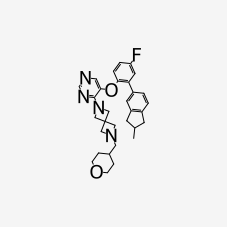 CC1Cc2ccc(-c3cc(F)ccc3Oc3cncnc3N3CC4(CN(CC5CCOCC5)C4)C3)cc2C1